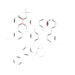 CC(C)(C)c1ccc(N2c3cc(C(C)(C)C)ccc3B3c4cc5c(cc4N(c4ccc(C(C)(C)C)cc4-c4ccccc4)c4cc(N6c7ccc(-c8ccccc8)cc7C7(C)CCCCC67C)cc2c43)C(C)(C)CC5(C)C)c(-c2ccccc2)c1